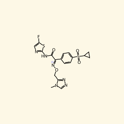 Cn1cnnc1CO/N=C(/C(=O)Nc1ncc(F)s1)c1ccc(S(=O)(=O)C2CC2)cc1